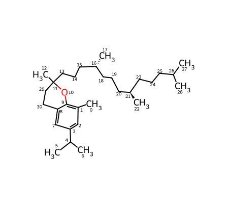 Cc1cc(C(C)C)cc2c1OC(C)(CCC[C@H](C)CCC[C@H](C)CCCC(C)C)CC2